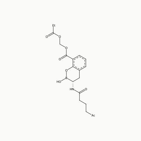 CCC(=O)OCOC(=O)c1cccc2c1OB(O)[C@@H](NC(=O)CCCC(C)=O)C2